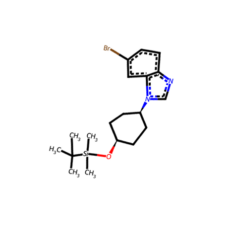 CC(C)(C)[Si](C)(C)O[C@H]1CC[C@@H](n2cnc3ccc(Br)cc32)CC1